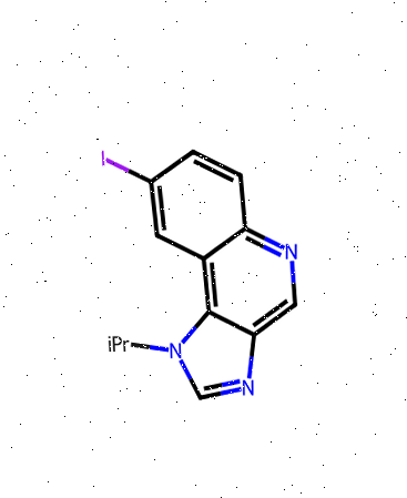 CC(C)n1cnc2cnc3ccc(I)cc3c21